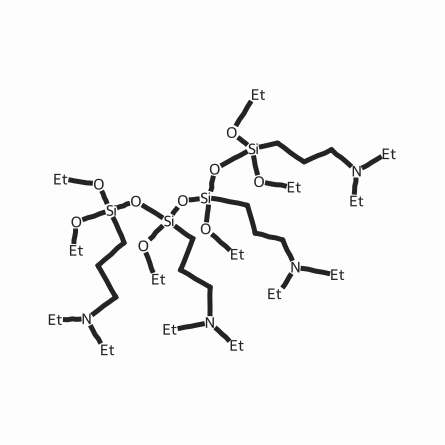 CCO[Si](CCCN(CC)CC)(OCC)O[Si](CCCN(CC)CC)(OCC)O[Si](CCCN(CC)CC)(OCC)O[Si](CCCN(CC)CC)(OCC)OCC